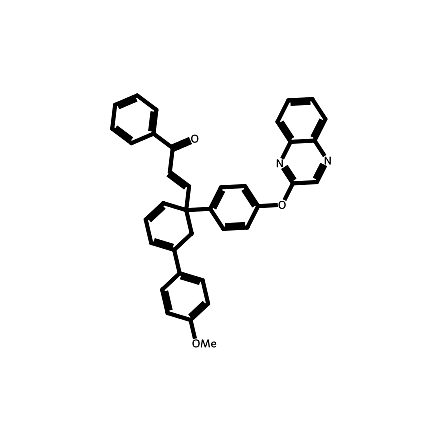 COc1ccc(C2=CC=CC(/C=C/C(=O)c3ccccc3)(c3ccc(Oc4cnc5ccccc5n4)cc3)C2)cc1